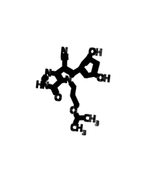 CC(C)OCCCn1c(-c2cc(O)cc(O)c2)c(C#N)c2nc[nH]c(=O)c21